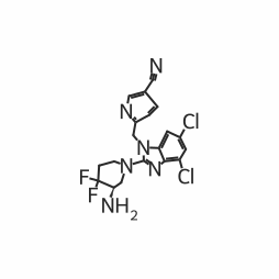 N#Cc1ccc(Cn2c(N3CCC(F)(F)[C@H](N)C3)nc3c(Cl)cc(Cl)cc32)nc1